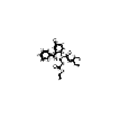 CCOC(=O)CCN(C(=O)CC(CC)CC)c1ccc(Cl)cc1C(=N)c1ccccc1